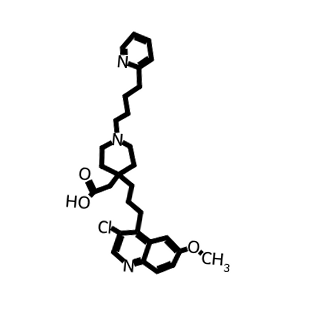 COc1ccc2ncc(Cl)c(CCCC3(CC(=O)O)CCN(CCCCc4ccccn4)CC3)c2c1